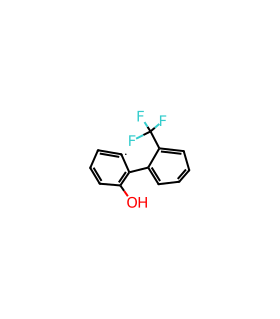 Oc1ccc[c]c1-c1ccccc1C(F)(F)F